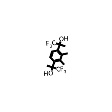 Cc1c(C(C)(O)C(F)(F)F)ccc(C(C)(O)C(F)(F)F)c1C